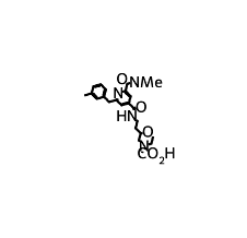 CNC(=O)c1cc(C(=O)NCCC2CN(C(=O)O)CCO2)cc(Cc2cccc(C)c2)n1